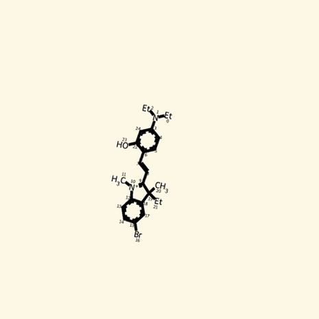 CCN(CC)c1ccc(/C=C/C2=[N+](C)c3ccc(Br)cc3C2(C)CC)c(O)c1